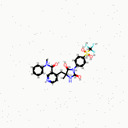 CN(C(=O)c1cnccc1CC1(C)NC(=O)N(c2ccc(S(=O)(=O)C(F)(F)F)cc2)C1=O)c1ccccc1